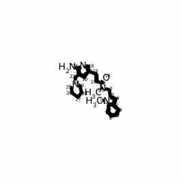 CN(Cc1cc2ccccc2n1C)C(=O)/C=C/c1cnc(N)c(CN2CCCCC2)c1